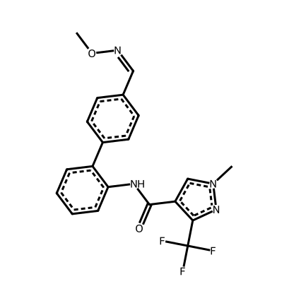 CO/N=C\c1ccc(-c2ccccc2NC(=O)c2cn(C)nc2C(F)(F)F)cc1